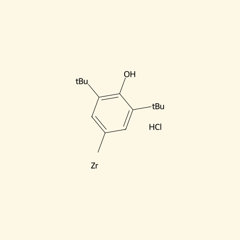 Cc1cc(C(C)(C)C)c(O)c(C(C)(C)C)c1.Cl.[Zr]